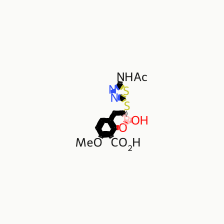 COc1ccc2c(c1C(=O)O)OB(O)[C@@H](Sc1nnc(NC(C)=O)s1)C2